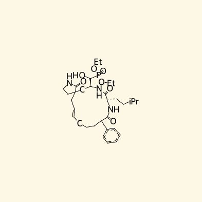 CCOP(=O)(OCC)C(O)[C@@H]1CC2(C/C=C/CCCC(c3ccccc3)C(=O)N[C@@H](CCC(C)C)C(=O)N1)CCNC2=O